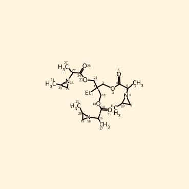 CCC(COC(=O)C(C)N1CC1C)(COC(=O)C(C)N1CC1C)COC(=O)C(C)N1CC1C